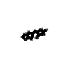 O=C1NC(=S)SC1=Cc1ccc2occc2c1